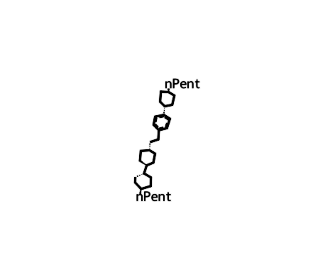 CCCCC[C@H]1CC[C@H](c2ccc(CC[C@H]3CC[C@H]([C@H]4CC[C@H](CCCCC)CC4)CC3)cc2)CC1